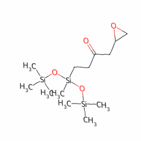 C[Si](C)(C)O[Si](C)(CCC(=O)CC1CO1)O[Si](C)(C)C